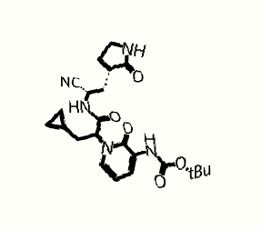 CC(C)(C)OC(=O)Nc1cccn(C(CC2CC2)C(=O)N[C@H](C#N)C[C@@H]2CCNC2=O)c1=O